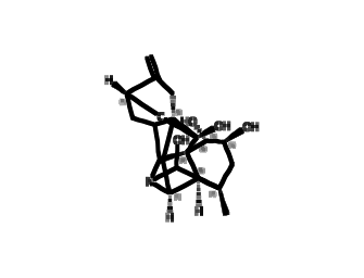 C=C1C[C@]23C[C@H]4[C@H]5[C@]67C(C2C[C@H]1C[C@]36O)N4C(O)[C@]5(C)C[C@H](O)[C@H]7O